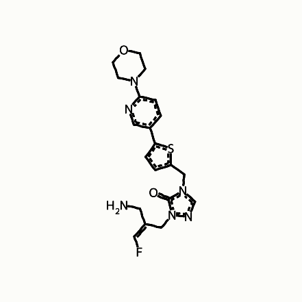 NC/C(=C/F)Cn1ncn(Cc2ccc(-c3ccc(N4CCOCC4)nc3)s2)c1=O